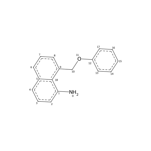 Nc1cccc2cccc(COc3ccccc3)c12